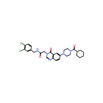 O=C(Cn1cnc2ccc(N3CCN(C(=O)C4CCCCC4)CC3)cc2c1=O)NCc1ccc(Cl)c(Cl)c1